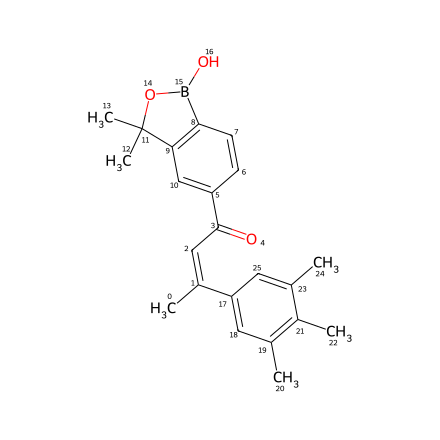 CC(=CC(=O)c1ccc2c(c1)C(C)(C)OB2O)c1cc(C)c(C)c(C)c1